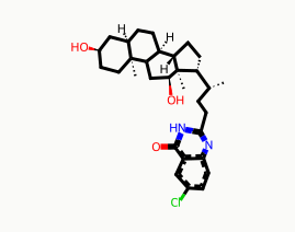 C[C@H](CCc1nc2ccc(Cl)cc2c(=O)[nH]1)[C@H]1CC[C@H]2[C@@H]3CC[C@@H]4C[C@H](O)CC[C@]4(C)C3C[C@H](O)[C@]12C